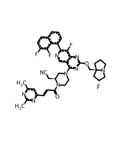 Cc1cc(/C=C/C(=O)N2CCN(c3nc(OC[C@@]45CCCN4C[C@H](F)C5)nc4c(F)c(-c5cccc6ccc(F)c(F)c56)ncc34)C[C@@H]2CC#N)nc(C)n1